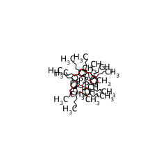 CCCCc1cccc(P(c2cccc(CCCC)c2CCCC)C(CC)C(P(c2cccc(CCCC)c2CCCC)c2cccc(CCCC)c2CCCC)(P(c2cccc(CCCC)c2CCCC)c2cccc(CCCC)c2CCCC)P(c2cccc(CCCC)c2CCCC)c2cccc(CCCC)c2CCCC)c1CCCC